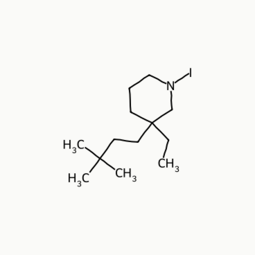 CCC1(CCC(C)(C)C)CCCN(I)C1